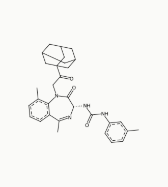 CC1=N[C@@H](NC(=O)Nc2cccc(C)c2)C(=O)N(CC(=O)C23CC4CC(CC(C4)C2)C3)c2c(C)cccc21